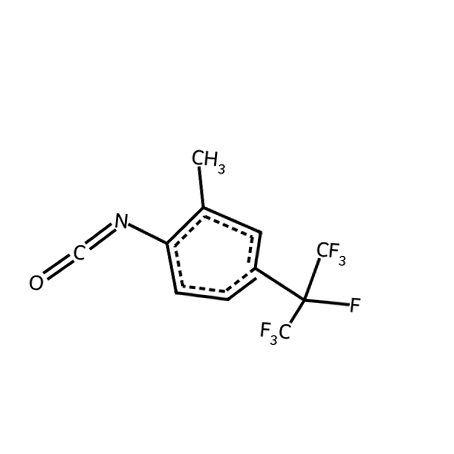 Cc1cc(C(F)(C(F)(F)F)C(F)(F)F)ccc1N=C=O